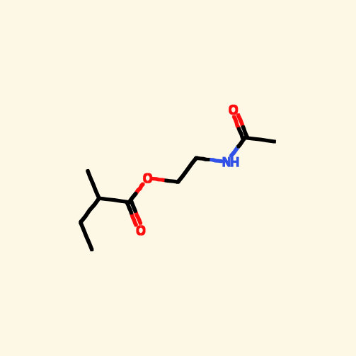 CCC(C)C(=O)OCCNC(C)=O